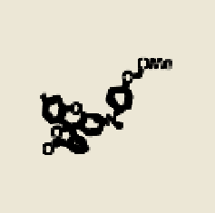 COCOc1ccc(N(C)c2ccc3c(c2)Oc2cc(C)ccc2C32OC(=O)c3ccccc32)cc1